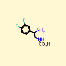 NC(CNC(=O)O)c1ccc(F)c(F)c1